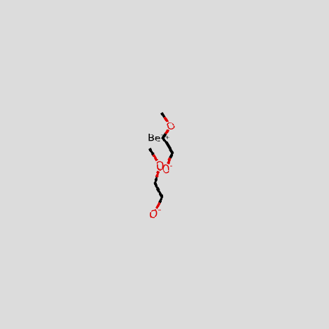 COCC[O-].COCC[O-].[Be+2]